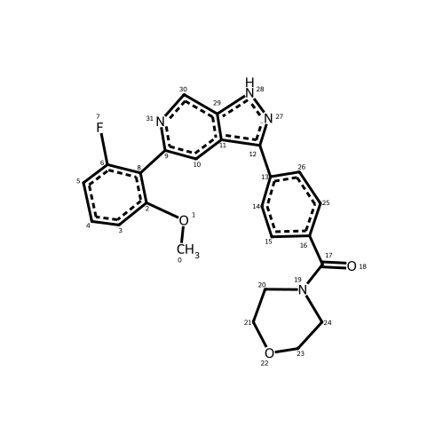 COc1cccc(F)c1-c1cc2c(-c3ccc(C(=O)N4CCOCC4)cc3)n[nH]c2cn1